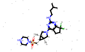 CC(C)CCNc1nc(N2C[C@@H]3[C@H](C2)[C@H]3CS(=O)(=O)N2CCNCC2)c2c(n1)C(F)(F)CC2